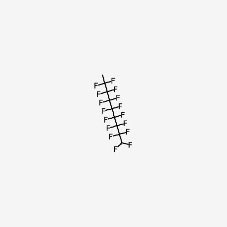 CC(F)(F)C(F)(F)C(F)(F)C(F)(F)C(F)(F)C(F)(F)C(F)(F)[C](F)F